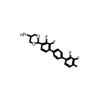 CCCC1COC(c2ccc(-c3ccc(-c4ccc(C)c(F)c4F)cc3)c(F)c2F)OC1